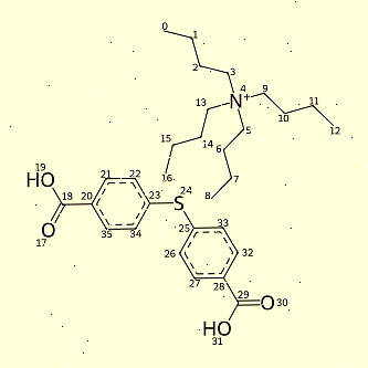 CCCC[N+](CCCC)(CCCC)CCCC.O=C(O)c1ccc(Sc2ccc(C(=O)O)cc2)cc1